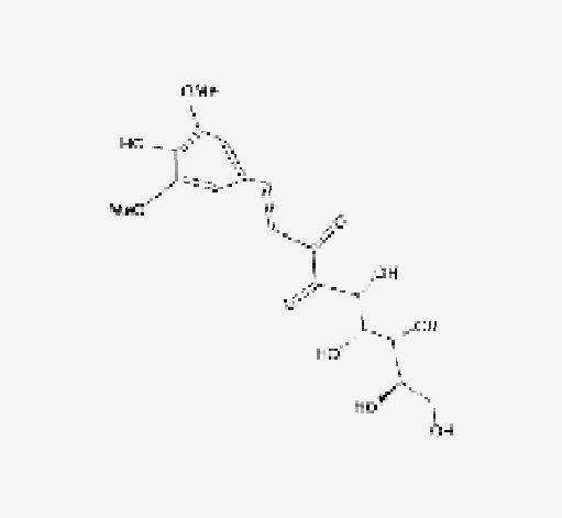 COc1cc(C=CC(=O)C(=O)[C@H](O)[C@@H](O)[C@H](O)[C@H](O)CO)cc(OC)c1O